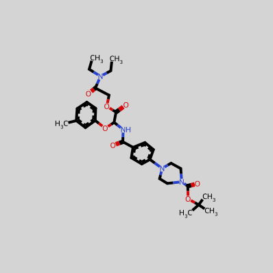 CCN(CC)C(=O)COC(=O)C(NC(=O)c1ccc(N2CCN(C(=O)OC(C)(C)C)CC2)cc1)Oc1cccc(C)c1